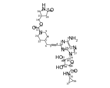 Nc1nc(C#CCC2CCN(C(=O)OCC3CNC(=O)C3)CC2)nc2c1ncn2[C@@H]1O[C@H](C(=O)NC2CC2)C(O)[C@@H]1O